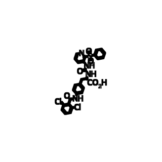 O=C(Nc1cccnc1S(=O)(=O)c1ccccc1)NC(Cc1ccc(NC(=O)c2c(Cl)cccc2Cl)cc1)C(=O)O